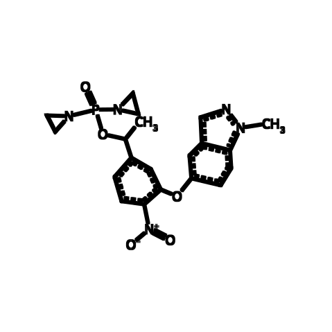 CC(OP(=O)(N1CC1)N1CC1)c1ccc([N+](=O)[O-])c(Oc2ccc3c(cnn3C)c2)c1